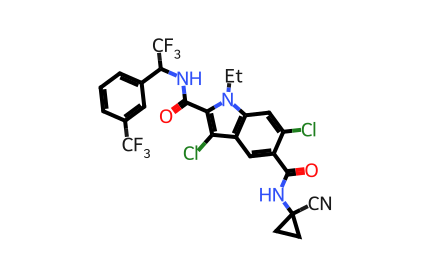 CCn1c(C(=O)NC(c2cccc(C(F)(F)F)c2)C(F)(F)F)c(Cl)c2cc(C(=O)NC3(C#N)CC3)c(Cl)cc21